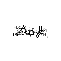 CC(C)NC(C)C(=O)OC1CCC(CC(C)NC(C)C(C)OCC(C)(C)C)CC1